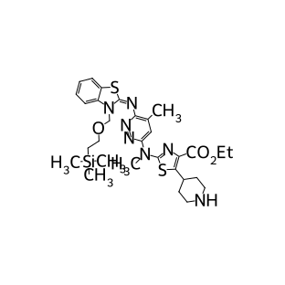 CCOC(=O)c1nc(N(C)c2cc(C)c(N=c3sc4ccccc4n3COCC[Si](C)(C)C)nn2)sc1C1CCNCC1